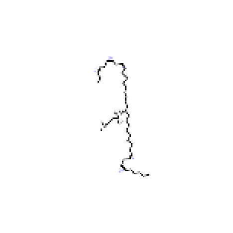 CC/C=C\C/C=C\C/C=C\CCCCCCCCC(CCCCCCCC/C=C\C/C=C\CCCCC)NC(=O)CCN(C)C